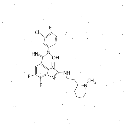 CN1CCCCC1CCNc1nc2c(F)c(F)cc(C(=N)N(O)c3ccc(F)c(Cl)c3)c2[nH]1